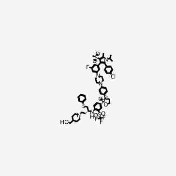 Cc1c(S(C)(=O)=O)c(-c2cc(F)cc(N3CCN(c4ccc(N5CCO[P@]5(=O)c5ccc(N[C@H](CCN6CCC(CO)CC6)CSc6ccccc6)c(S(=O)(=O)C(F)(F)F)c5)cc4)CC3)c2)c(-c2ccc(Cl)cc2)n1C(C)C